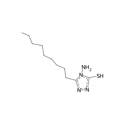 CCCCCCCCCc1nnc(S)n1N